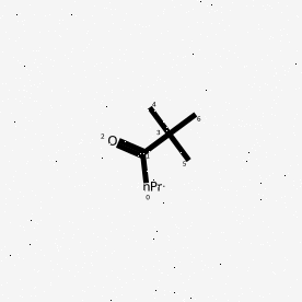 CC[CH]C(=O)C(C)(C)C